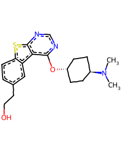 CN(C)[C@H]1CC[C@H](Oc2ncnc3sc4ccc(CCO)cc4c23)CC1